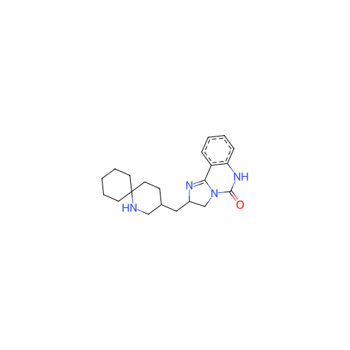 O=C1Nc2ccccc2C2=NC(CC3CCC4(CCCCC4)NC3)CN12